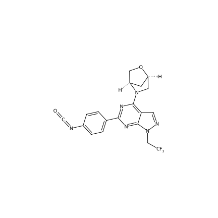 O=C=Nc1ccc(-c2nc(N3C[C@H]4C[C@@H]3CO4)c3cnn(CC(F)(F)F)c3n2)cc1